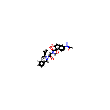 CC(=O)Nc1ccc2c(c1)CC(=O)C21OCN(CC(=O)N(Cc2ccccc2)C(C)C2CC2)C1=O